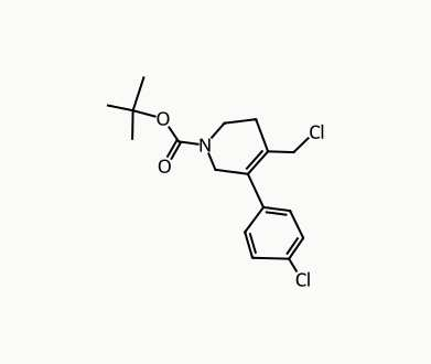 CC(C)(C)OC(=O)N1CCC(CCl)=C(c2ccc(Cl)cc2)C1